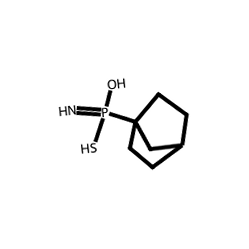 N=P(O)(S)C12CCC(CC1)C2